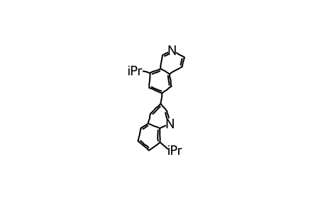 CC(C)c1cc(-c2cnc3c(C(C)C)cccc3c2)cc2ccncc12